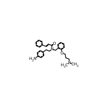 CN(C)CCCOc1ccccc1CN(CCc1ccc(N)cc1)C(=O)/C=C/c1ccccc1